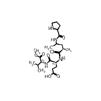 COC(=O)[C@@H](NC(=O)[C@H](CCC(=O)O)NC(=O)C(C)CC(C)NC(=O)C1CCCN1)C(C)C